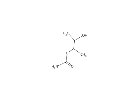 CC(O)C(C)OC(N)=O